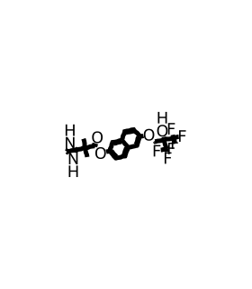 CC(C)(C(=O)Oc1ccc2cc(OCC(O)(C(F)(F)F)C(F)(F)F)ccc2c1)C12NC1N2